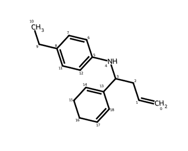 C=CCC(Nc1ccc(CC)cc1)C1=CCCC=C1